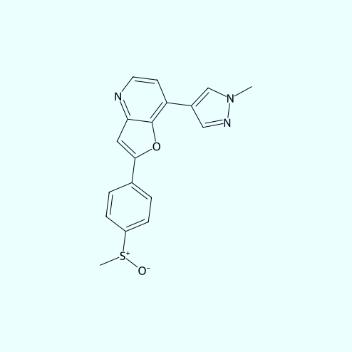 Cn1cc(-c2ccnc3cc(-c4ccc([S+](C)[O-])cc4)oc23)cn1